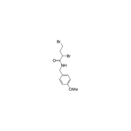 COc1ccc(CNC(=O)C(Br)CCBr)cc1